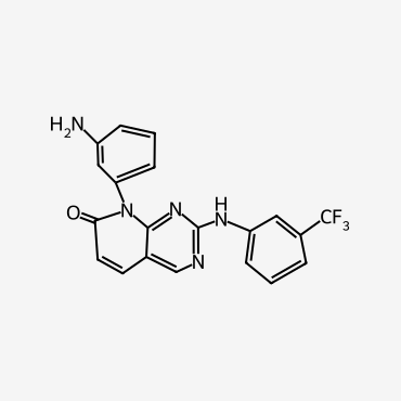 Nc1cccc(-n2c(=O)ccc3cnc(Nc4cccc(C(F)(F)F)c4)nc32)c1